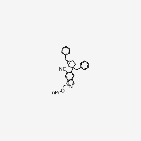 CCCOCn1ncc2cc(C3(Cc4ccccc4)CCN(Cc4ccccc4)C3)c(C#N)cc21